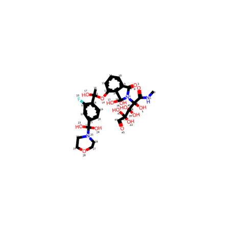 CNC(=O)C(O)(N1C(=O)c2cccc(OC(C)(O)c3ccc(C(O)(O)N4CCOCC4)cc3F)c2C1(O)O)C(O)(O)C(O)(O)C=O